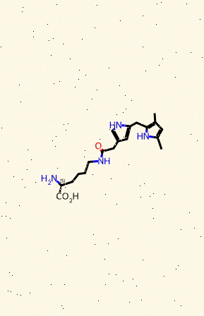 Cc1cc(C)c(Cc2cc(CC(=O)NCCCC[C@H](N)C(=O)O)c[nH]2)[nH]1